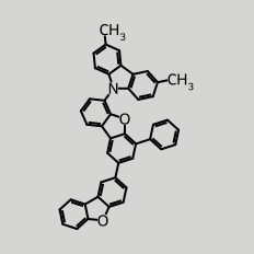 Cc1ccc2c(c1)c1cc(C)ccc1n2-c1cccc2c1oc1c(-c3ccccc3)cc(-c3ccc4oc5ccccc5c4c3)cc12